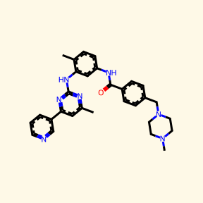 Cc1cc(-c2cccnc2)nc(Nc2cc(NC(=O)c3ccc(CN4CCN(C)CC4)cc3)ccc2C)n1